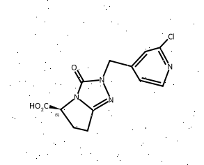 O=C(O)[C@@H]1CCc2nn(Cc3ccnc(Cl)c3)c(=O)n21